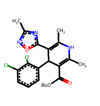 CC1=C(C(=O)OCC(C)C)C(c2cccc(Cl)c2Cl)C(c2nc(C)no2)=C(C)N1